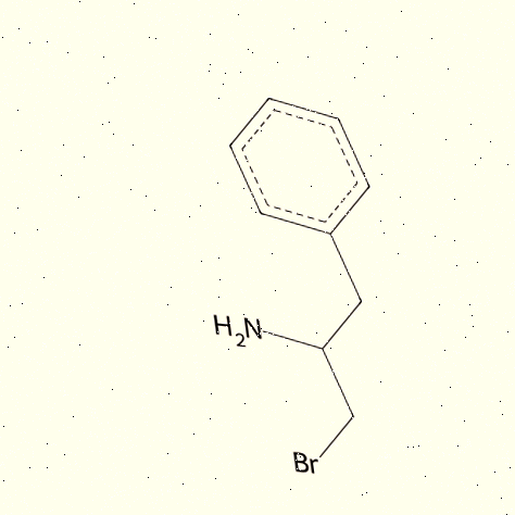 NC(CBr)Cc1ccccc1